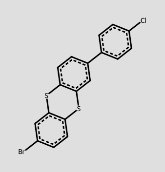 Clc1ccc(-c2ccc3c(c2)Sc2ccc(Br)cc2S3)cc1